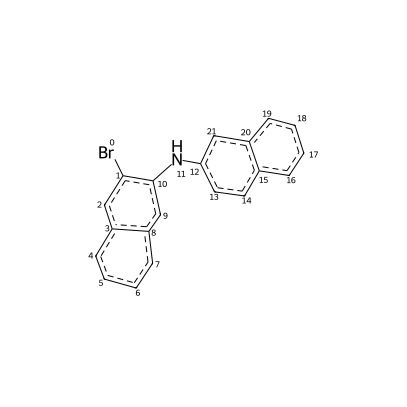 Brc1cc2ccccc2cc1Nc1ccc2ccccc2c1